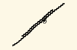 CCCCCCCCCCCCCCCCCCCCCCCCCCCCCCC.CCCCCCCCCCCCCCCCCCCCCCCCCCCCCCC(=O)OCCCCCCCCCCCCCCCCCCC